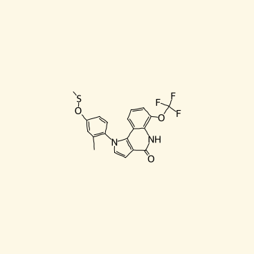 CSOc1ccc(-n2ccc3c(=O)[nH]c4c(OC(F)(F)F)cccc4c32)c(C)c1